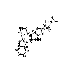 Cc1c(-c2cncn2-c2n[nH]c3nc(NC(=O)C4CC4)sc23)sc2ccccc12